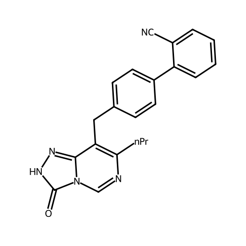 CCCc1ncn2c(=O)[nH]nc2c1Cc1ccc(-c2ccccc2C#N)cc1